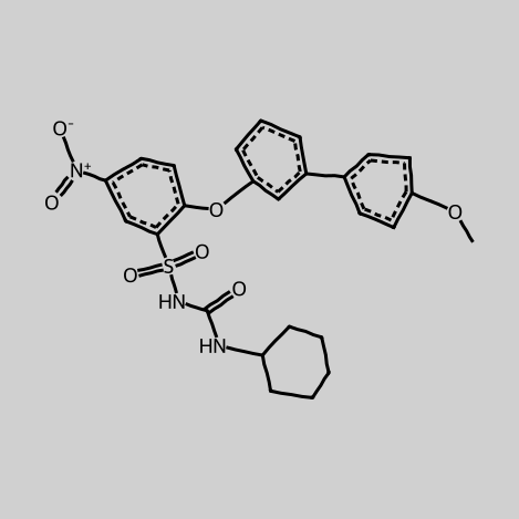 COc1ccc(-c2cccc(Oc3ccc([N+](=O)[O-])cc3S(=O)(=O)NC(=O)NC3CCCCC3)c2)cc1